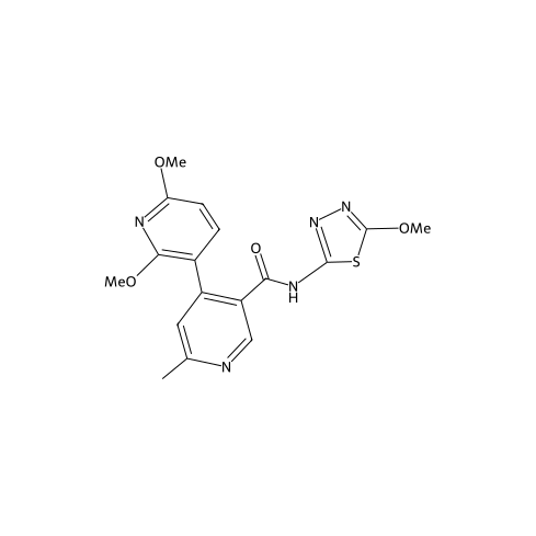 COc1ccc(-c2cc(C)ncc2C(=O)Nc2nnc(OC)s2)c(OC)n1